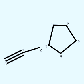 C#CC.C1CCCC1